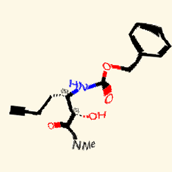 C#CCC[C@H](NC(=O)OCc1ccccc1)[C@H](O)C(=O)NC